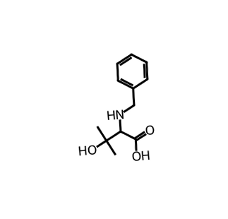 CC(C)(O)C(NCc1ccccc1)C(=O)O